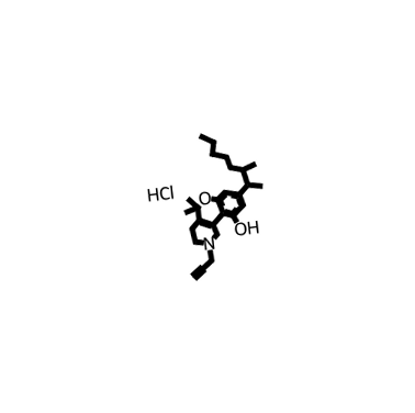 C#CCN1CCC2=C(C1)c1c(O)cc(C(C)C(C)CCCCC)cc1OC2(C)C.Cl